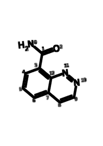 NC(=O)c1cccc2ccnnc12